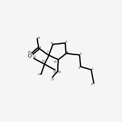 CCCCC1CCC(C(C)=O)(C(C)(C)C)C1CC